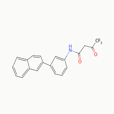 O=C(CC(=O)C(F)(F)F)Nc1cccc(-c2ccc3ccccc3c2)c1